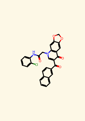 O=C(Cn1cc(C(=O)c2ccc3ccccc3c2)c(=O)c2cc3c(cc21)OCO3)Nc1ccccc1Cl